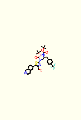 CC(C)(C)OC(=O)NC(Cc1ccc(C(F)(F)F)cc1)CN(C(=O)OC(C)(C)C)c1nc(C=O)c(-c2ccc3cnccc3c2)s1